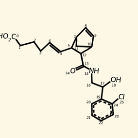 O=C(O)CCCC=CC1C2C=CC(C2)C1C(=O)NCC(O)c1ccccc1Cl